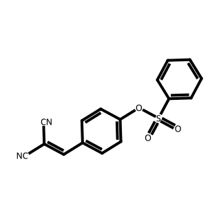 N#CC(C#N)=Cc1ccc(OS(=O)(=O)c2ccccc2)cc1